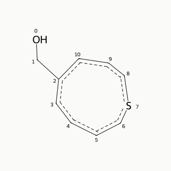 OCc1ccccsccc1